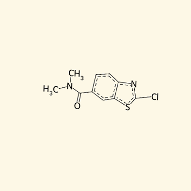 CN(C)C(=O)c1ccc2nc(Cl)sc2c1